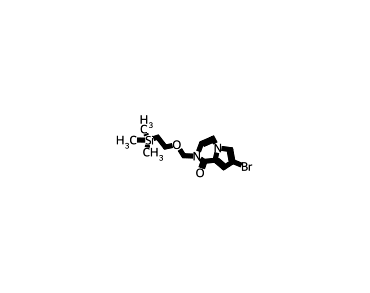 C[Si](C)(C)CCOCn1ccn2cc(Br)cc2c1=O